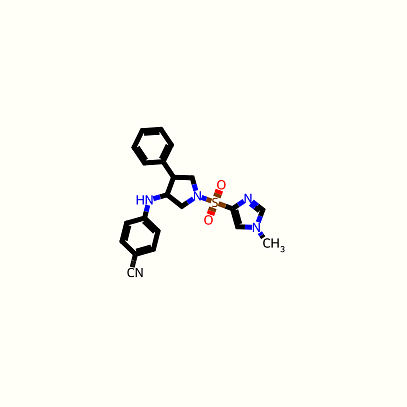 Cn1cnc(S(=O)(=O)N2CC(Nc3ccc(C#N)cc3)C(c3ccccc3)C2)c1